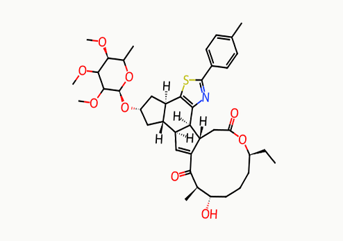 CC[C@H]1CCC[C@H](O)[C@@H](C)C(=O)C2=C[C@H]3[C@@H]4C[C@H](O[C@@H]5OC(C)[C@H](OC)C(OC)C5OC)C[C@H]4c4sc(-c5ccc(C)cc5)nc4[C@H]3[C@@H]2CC(=O)O1